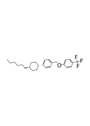 CCCCCC[C@H]1CC[C@H](c2ccc(COc3ccc(C(F)(F)F)cc3)cc2)CC1